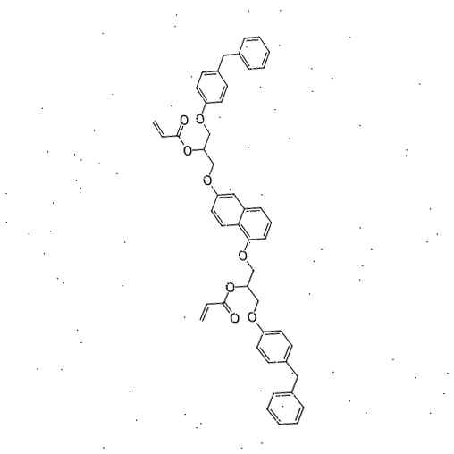 C=CC(=O)OC(COc1ccc(Cc2ccccc2)cc1)COc1ccc2c(OCC(COc3ccc(Cc4ccccc4)cc3)OC(=O)C=C)cccc2c1